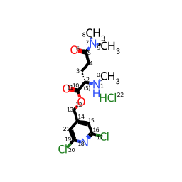 CN[C@@H](CCC(=O)N(C)C)C(=O)OCc1cc(Cl)nc(Cl)c1.Cl